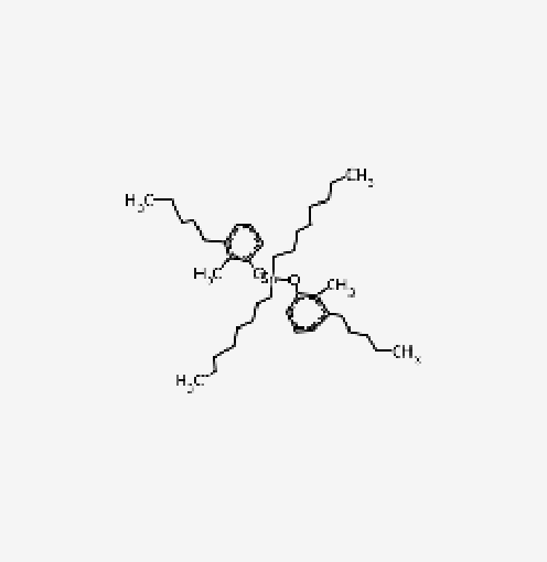 CCCCCCC[CH2][Sn]([CH2]CCCCCCC)([O]c1cccc(CCCCC)c1C)[O]c1cccc(CCCCC)c1C